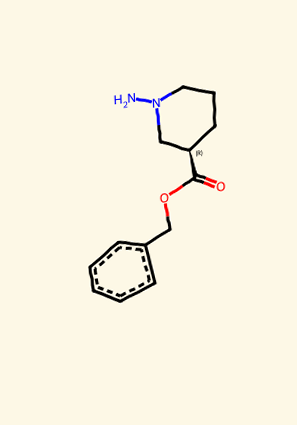 NN1CCC[C@@H](C(=O)OCc2ccccc2)C1